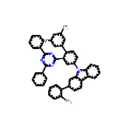 Cc1ccccc1-c1ccc2c3ccccc3n(-c3ccc(-c4cc(C(F)(F)F)cc(C(F)(F)F)c4)c(-c4nc(-c5ccccc5)nc(-c5ccccc5)n4)c3)c2c1